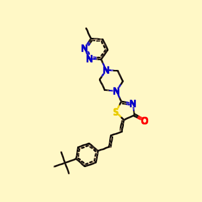 Cc1ccc(N2CCN(C3=NC(=O)C(=CC=Cc4ccc(C(C)(C)C)cc4)S3)CC2)nn1